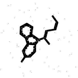 C/C=C\C=C(/C)n1c2ccccc2c2cc(C)ccc21